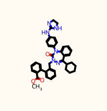 COC(=O)c1ccccc1-c1ccccc1CN1N=C(C2CCCCC2)c2ccccc2N(c2ccc(NC3=NCCN3)cc2)C1=O